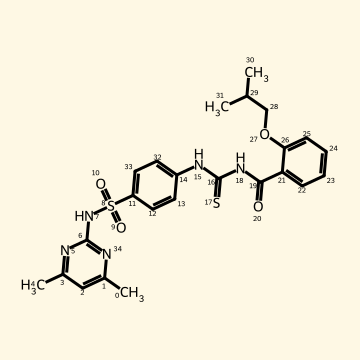 Cc1cc(C)nc(NS(=O)(=O)c2ccc(NC(=S)NC(=O)c3ccccc3OCC(C)C)cc2)n1